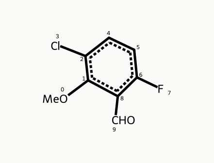 COc1c(Cl)ccc(F)c1C=O